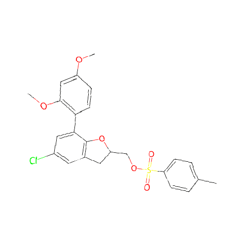 COc1ccc(-c2cc(Cl)cc3c2OC(COS(=O)(=O)c2ccc(C)cc2)C3)c(OC)c1